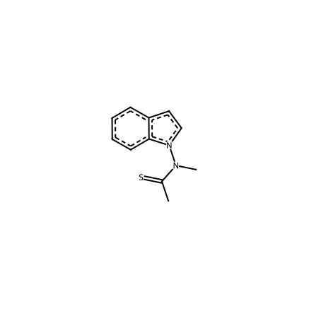 CC(=S)N(C)n1ccc2ccccc21